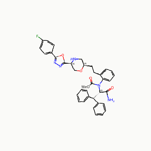 COC(=O)N(c1ccccc1CC[C@@H]1CN[C@H](c2nnc(-c3ccc(F)cc3)o2)CO1)[C@H](C(N)=O)C(c1ccccc1)c1ccccc1